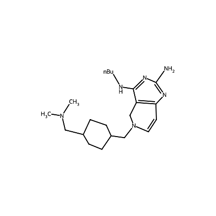 CCCCNc1nc(N)nc2c1CN(CC1CCC(CN(C)C)CC1)C=C2